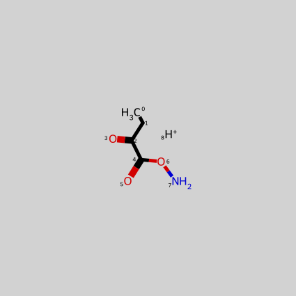 CCC(=O)C(=O)ON.[H+]